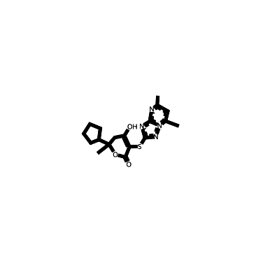 Cc1cc(C)n2nc(SC3=C(O)CC(C)(C4CCCC4)OC3=O)nc2n1